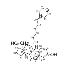 C=C[C@@]12CCc3cc(O)ccc3[C@H]1[C@@H](CCCCCCN1CCOCC1)C[C@@]1(C)[C@H]2CC[C@@H]1O